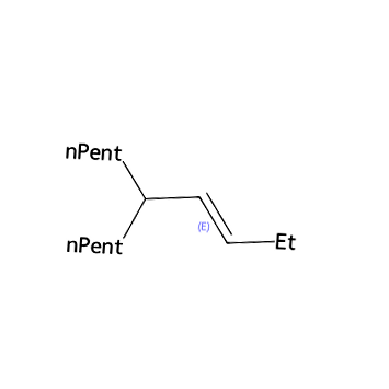 [CH2]C/C=C/C(CCCCC)CCCCC